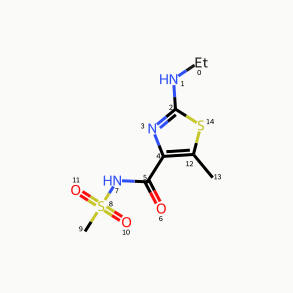 CCNc1nc(C(=O)NS(C)(=O)=O)c(C)s1